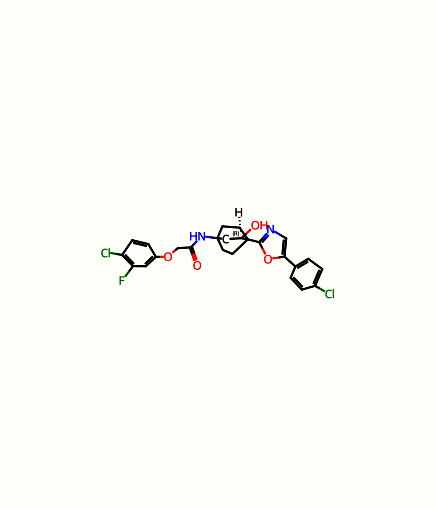 O=C(COc1ccc(Cl)c(F)c1)NC12CCC(c3ncc(-c4ccc(Cl)cc4)o3)(CC1)[C@H](O)C2